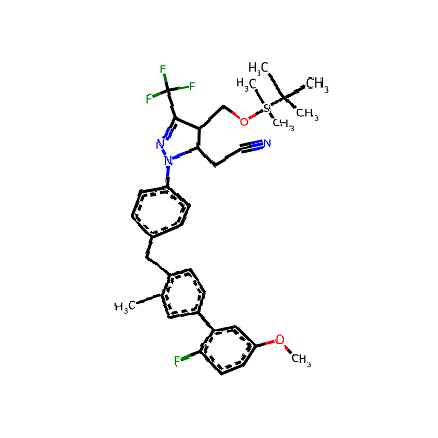 COc1ccc(F)c(-c2ccc(Cc3ccc(N4N=C(C(F)(F)F)C(CO[Si](C)(C)C(C)(C)C)C4CC#N)cc3)c(C)c2)c1